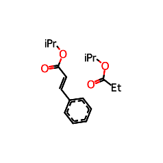 CC(C)OC(=O)/C=C/c1ccccc1.CCC(=O)OC(C)C